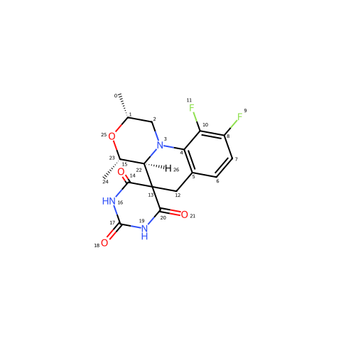 C[C@@H]1CN2c3c(ccc(F)c3F)CC3(C(=O)NC(=O)NC3=O)[C@H]2[C@H](C)O1